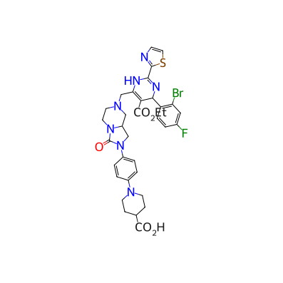 CCOC(=O)C1=C(CN2CCN3C(=O)N(c4ccc(N5CCC(C(=O)O)CC5)cc4)CC3C2)NC(c2nccs2)=NC1c1ccc(F)cc1Br